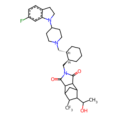 CC(O)C1C2CC(C3C(=O)N(C[C@@H]4CCCC[C@H]4CN4CCC(N5CCc6ccc(F)cc65)CC4)C(=O)C23)C1C(F)(F)F